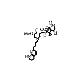 CO[C@H](CF)CN(CCCCc1ccc2c(n1)NCCC2)CC[C@H](NC(=O)C1(c2c(Cl)cn[nH]c2=O)CC1)C(=O)O